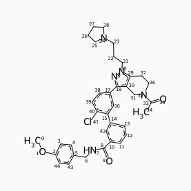 COc1ccc(CNC(=O)c2cccc(-c3cc(-c4nn(CCCN5CCCC5)c5c4CN(C(C)=O)CC5)ccc3Cl)c2)cc1